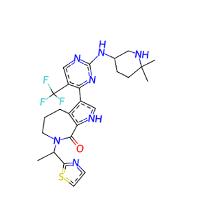 CC(c1nccs1)N1CCCc2c(-c3nc(NC4CCC(C)(C)NC4)ncc3C(F)(F)F)c[nH]c2C1=O